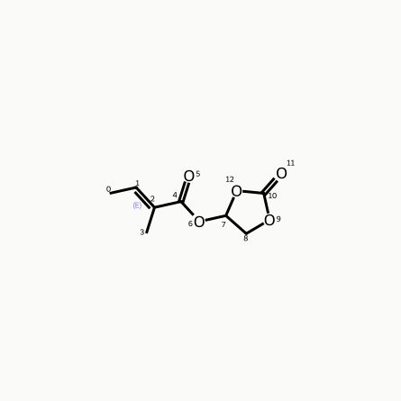 C/C=C(\C)C(=O)OC1COC(=O)O1